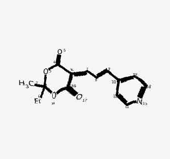 CCC1(C)OC(=O)C(=CC=Cc2ccncc2)C(=O)O1